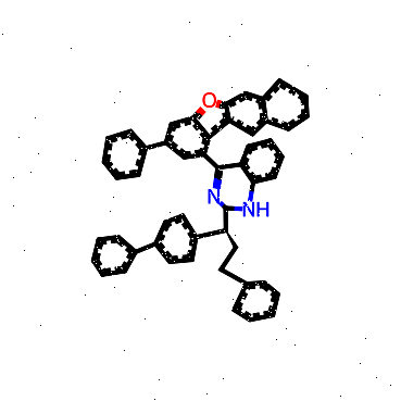 c1ccc(CC[C@@H](c2ccc(-c3ccccc3)cc2)C2N=C(c3cc(-c4ccccc4)cc4oc5cc6ccccc6cc5c34)c3ccccc3N2)cc1